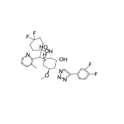 CO[C@H]1C[SH](C(c2ncccc2C)C2(O)CCC(F)(F)CC2)[C@H](CO)[C@H](O)[C@@H]1n1cc(-c2ccc(F)c(F)c2)nn1